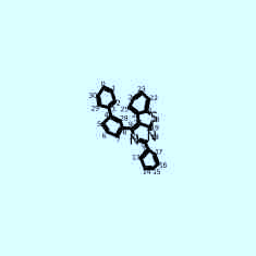 c1ccc(-c2cccc(-c3nc(-c4ccccc4)nc4sc5ccccc5c34)c2)cc1